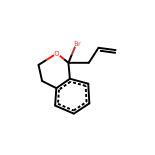 C=CCC1(Br)OCCc2ccccc21